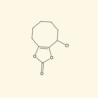 O=c1oc2c(o1)C(Cl)CCCCC2